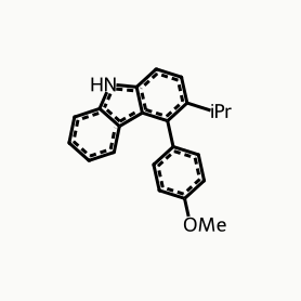 COc1ccc(-c2c(C(C)C)ccc3[nH]c4ccccc4c23)cc1